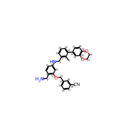 Cc1c(CNc2ccc(CN)c(OCc3cccc(C#N)c3)c2)cccc1-c1ccc2c(c1)OCCO2